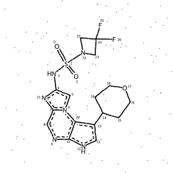 O=S(=O)(Nc1cn2c(cnc3[nH]cc(C4CCOCC4)c32)n1)N1CC(F)(F)C1